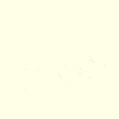 Cc1ccc(Cc2csc(N3CCN(S(=O)(=O)c4c(F)c(F)c(F)c(F)c4F)CC3)n2)cc1